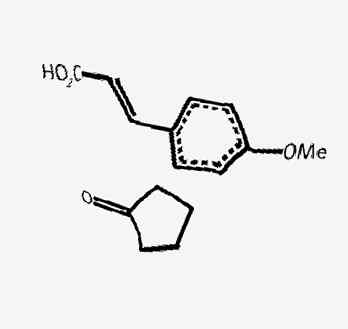 COc1ccc(C=CC(=O)O)cc1.O=C1CCCC1